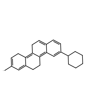 [CH2]C1=CCC2=C3CC=c4ccc(C5CCCCC5)cc4=C3CCC2=C1